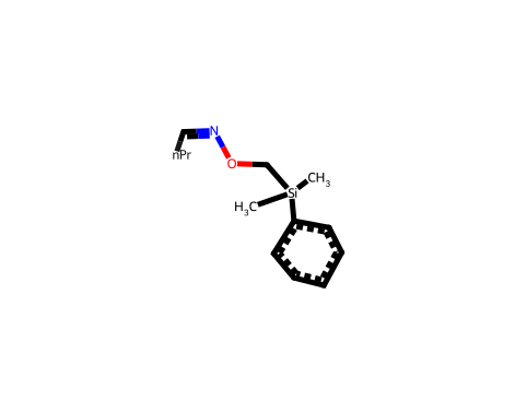 CCC/C=N\OC[Si](C)(C)c1ccccc1